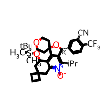 CC(C)c1c2c(c3c([n+]1[O-])CC1(CCC1)CC3O[Si](C)(C)C(C)(C)C)C1(CCOCC1)O[C@@H]2c1ccc(C(F)(F)F)c(C#N)c1